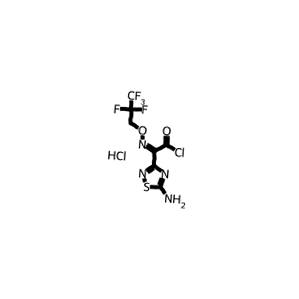 Cl.Nc1nc(C(=NOCC(F)(F)C(F)(F)F)C(=O)Cl)ns1